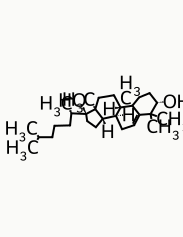 CC(C)CCC[C@@H](C)[C@@]1(O)CC[C@H]2[C@@H]3CC=C4C(C)(C)[C@@H](O)CC[C@]4(C)[C@H]3CC[C@@]21C